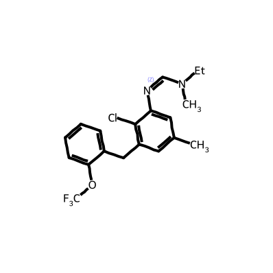 CCN(C)/C=N\c1cc(C)cc(Cc2ccccc2OC(F)(F)F)c1Cl